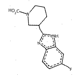 O=C(O)N1CCCC(c2nc3ccc(F)cc3[nH]2)C1